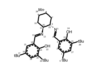 CC(C)(C)c1cc(C=N[C@H]2CCCC[C@@H]2N=Cc2cc(C(C)(C)C)cc(C(C)(C)C)c2O)c(O)c(C(C)(C)C)c1.[Mn]